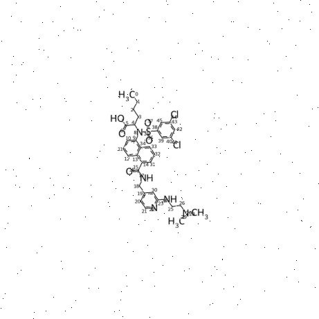 CCCCC(C(=O)O)N(c1cccc2c(C(=O)NCc3ccnc(NCCN(C)C)c3)cccc12)S(=O)(=O)c1cc(Cl)cc(Cl)c1